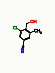 Cc1cc(C#N)cc(Cl)c1CO